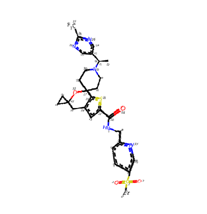 CCS(=O)(=O)c1ccc(CNC(=O)c2cc3c(s2)C2(CCN([C@H](C)c4cnc(C(F)(F)F)nc4)CC2)OC2(CC2)C3)nc1